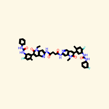 CCn1c(=O)c(-c2cc(NC(=O)Nc3ccccc3)c(F)cc2C)cc2cnc(NC(=O)CCC(=O)Nc3cc4c(cn3)cc(-c3cc(NC(=O)Nc5cccc(F)c5)c(F)cc3C)c(=O)n4CC)cc21